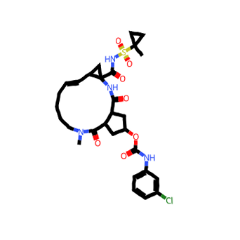 CN1CCCC/C=C/C2CC2(C(=O)NS(=O)(=O)C2(C)CC2)NC(=O)C2CC(OC(=O)Nc3cccc(Cl)c3)CC2C1=O